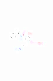 NCCCc1cc(C(=O)Nc2cccc3ccccc23)c(O)cc1OCCO